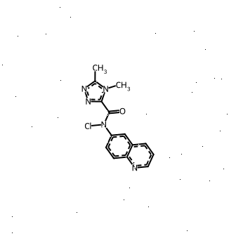 Cc1nnc(C(=O)N(Cl)c2ccc3ncccc3c2)n1C